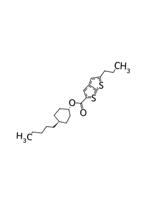 CCCCC[C@H]1CC[C@H](OC(=O)c2cc3cc(CCC)sc3s2)CC1